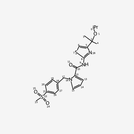 CC(C)OC(C)(C)c1csc(NC(=O)c2cccn2Cc2ccc(S(C)(=O)=O)cc2)n1